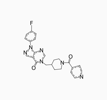 O=C(c1ccncc1)N1CCC(Cn2cnc3c(cnn3-c3ccc(F)cc3)c2=O)CC1